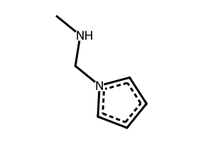 CNCn1cccc1